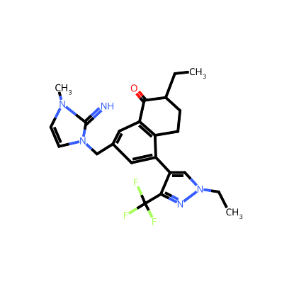 CCC1CCc2c(cc(Cn3ccn(C)c3=N)cc2-c2cn(CC)nc2C(F)(F)F)C1=O